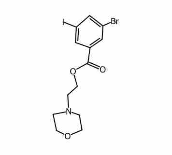 O=C(OCCN1CCOCC1)c1cc(Br)cc(I)c1